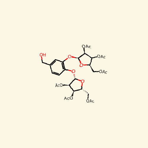 CC(=O)OC[C@H]1O[C@@H](Oc2cc(CO)ccc2O[C@@H]2O[C@H](COC(C)=O)[C@@H](OC(C)=O)[C@H]2OC(C)=O)[C@@H](OC(C)=O)C1OC(C)=O